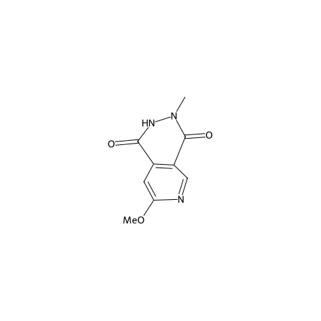 COc1cc2c(=O)[nH]n(C)c(=O)c2cn1